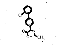 CCSC(C(=O)O)c1ccc(-c2ccccc2Cl)cc1